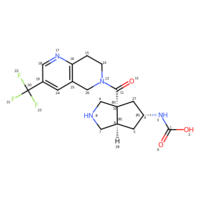 O=C(O)N[C@@H]1C[C@H]2CNC[C@@]2(C(=O)N2CCc3ncc(C(F)(F)F)cc3C2)C1